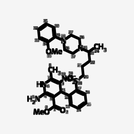 COC(=O)C1=C(N)NC(C)=C([N+](=O)[O-])C1c1ccccc1[S+]([O-])CCCC(C)N1CCN(c2ccccc2OC)CC1